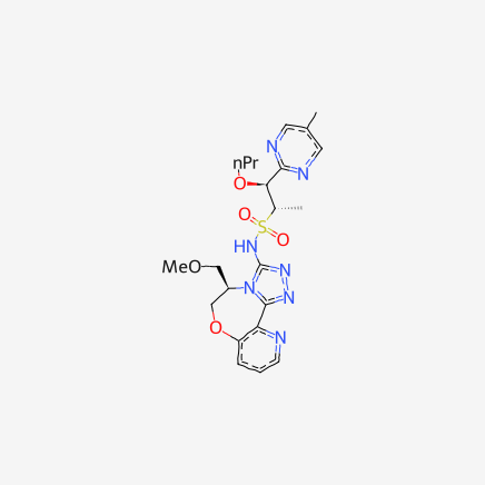 CCCO[C@@H](c1ncc(C)cn1)[C@H](C)S(=O)(=O)Nc1nnc2n1[C@H](COC)COc1cccnc1-2